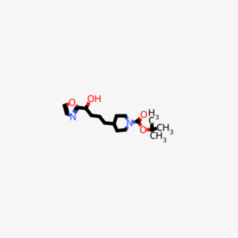 CC(C)(C)OC(=O)N1CCC(CCCC(O)c2ncco2)CC1